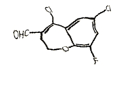 O=CC1=C(Cl)c2cc(Cl)cc(F)c2OC1